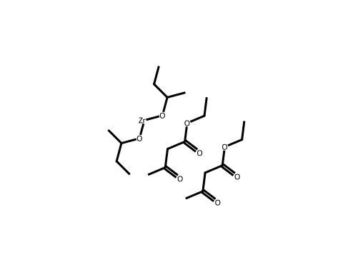 CCC(C)[O][Zr][O]C(C)CC.CCOC(=O)CC(C)=O.CCOC(=O)CC(C)=O